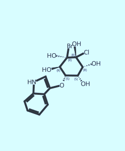 O[C@@H]1[C@H](Oc2c[nH]c3ccccc23)[C@@H](O)[C@@](O)(Br)[C@](O)(Cl)[C@@H]1O